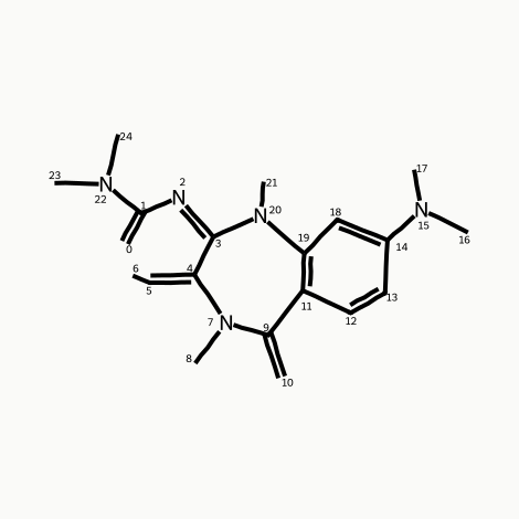 C=C(/N=C1\C(=C/C)N(C)C(=C)c2ccc(N(C)C)cc2N1C)N(C)C